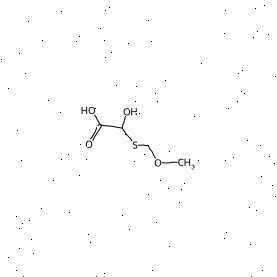 COCSC(O)C(=O)O